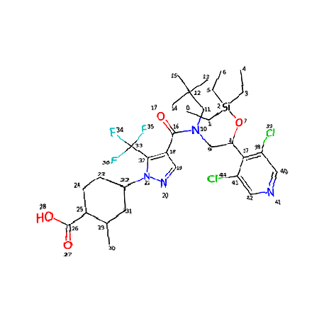 CC[Si](CC)(CC)OC(CN(CC(C)(C)C)C(=O)c1cnn(C2CCC(C(=O)O)C(C)C2)c1C(F)(F)F)c1c(Cl)cncc1Cl